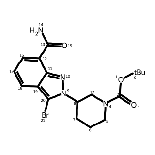 CC(C)(C)OC(=O)N1CCCC(n2nc3c(C(N)=O)cccc3c2Br)C1